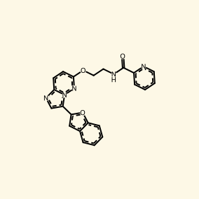 O=C(NCCOc1ccc2ncc(-c3cc4ccccc4o3)n2n1)c1ccccn1